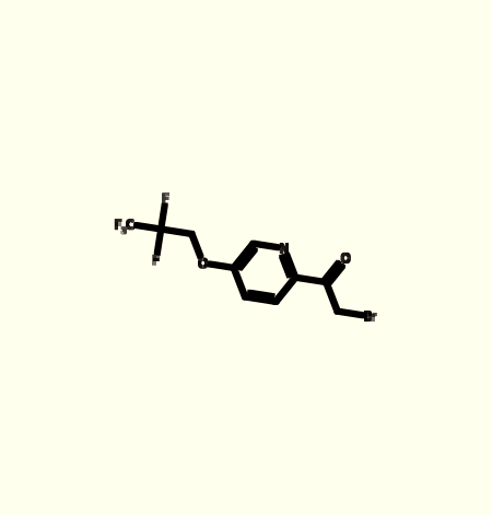 O=C(CBr)c1ccc(OCC(F)(F)C(F)(F)F)cn1